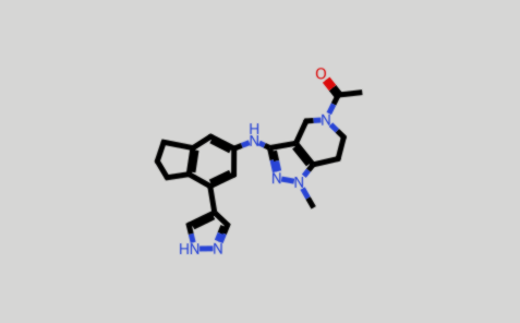 CC(=O)N1CCc2c(c(Nc3cc4c(c(-c5cn[nH]c5)c3)CCC4)nn2C)C1